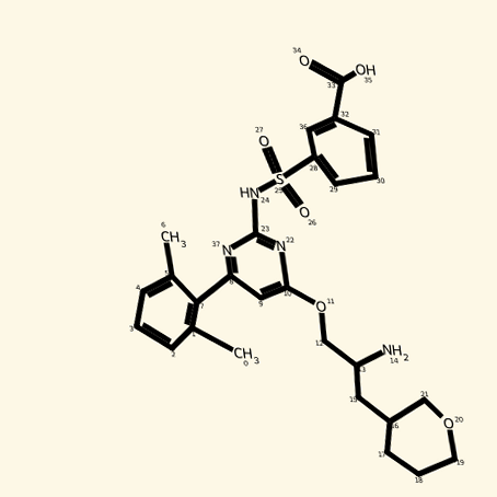 Cc1cccc(C)c1-c1cc(OCC(N)CC2CCCOC2)nc(NS(=O)(=O)c2cccc(C(=O)O)c2)n1